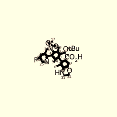 Cc1c(-c2c(C)c3c(c(C)c2[C@H](OC(C)(C)C)C(=O)O)N(S(C)(=O)=O)Cc2cc(F)cnc2-3)ccc2c1NCCO2